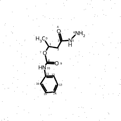 CC(CC(=O)NN)OC(=O)Nc1ccccc1